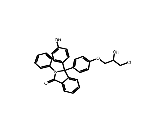 O=C1c2ccccc2C(c2ccc(O)cc2)(c2ccc(OCC(O)CCl)cc2)N1c1ccccc1